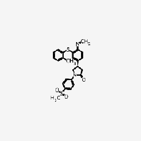 C=Nc1ccc([C@H]2CC(=O)N(c3ccc(S(C)(=O)=O)cc3)C2)cc1Sc1ccccc1C